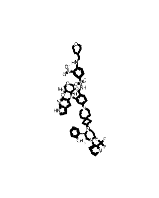 Cc1ccccc1[C@@H]1CN(c2cccnc2C(F)(F)F)CCN1C1CC2(CCN(c3ccc(C(=O)NS(=O)(=O)c4ccc(NCC5CCOCC5)c([N+](=O)[O-])c4)c(N4c5cc6cc[nH]c6nc5O[C@H]5COCC[C@@H]54)c3)CC2)C1